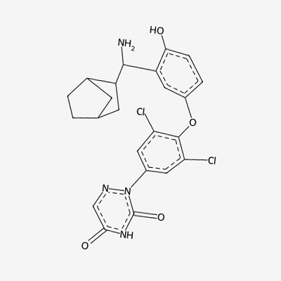 NC(c1cc(Oc2c(Cl)cc(-n3ncc(=O)[nH]c3=O)cc2Cl)ccc1O)C1CC2CCC1C2